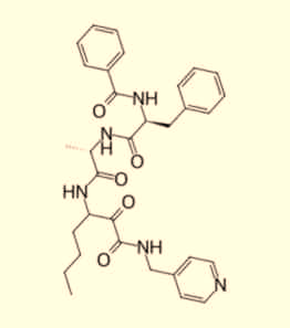 CCCCC(NC(=O)[C@H](C)NC(=O)[C@H](Cc1ccccc1)NC(=O)c1ccccc1)C(=O)C(=O)NCc1ccncc1